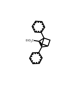 CCOC(=O)C1=C(c2ccccc2)C2CC1(c1ccccc1)C2